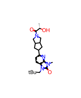 C[C@H](O)C(=O)N1CC2CC(c3ccc4c(n3)n(C)c(=O)n4CC(C)(C)C)CC2C1